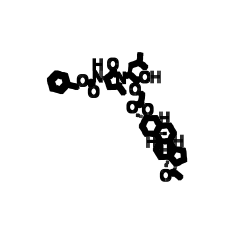 CC(=O)[C@H]1CC[C@H]2[C@@H]3CC[C@H]4C[C@](C)(OC(=O)COC(O)[C@H](CC(C)C)N5C(=O)[C@@H](NC(=O)OCc6ccccc6)CC5C)CC[C@]4(C)[C@H]3CC[C@]12C